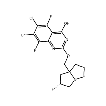 Oc1nc(OCC23CCCN2C[C@H](F)C3)nc2c(F)c(Br)c(Cl)c(F)c12